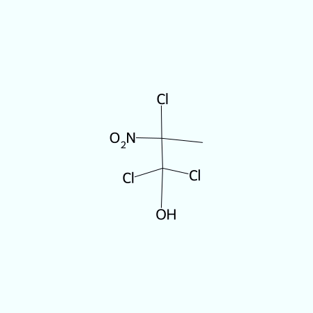 CC(Cl)([N+](=O)[O-])C(O)(Cl)Cl